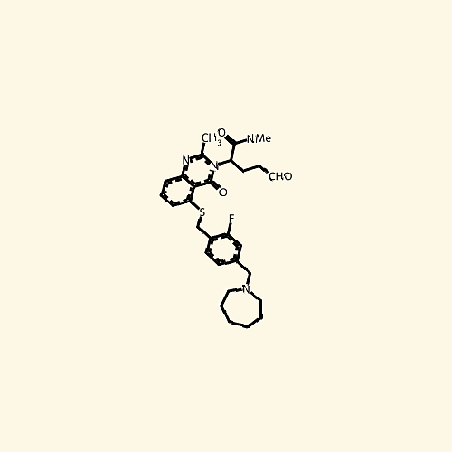 CNC(=O)C(CCC=O)n1c(C)nc2cccc(SCc3ccc(CN4CCCCCC4)cc3F)c2c1=O